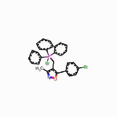 Cc1noc(-c2ccc(Br)cc2)c1CP(Br)(c1ccccc1)(c1ccccc1)c1ccccc1